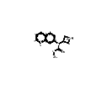 CC(C)(C)OC(=O)N(c1ccc2cccnc2c1)C1CNC1